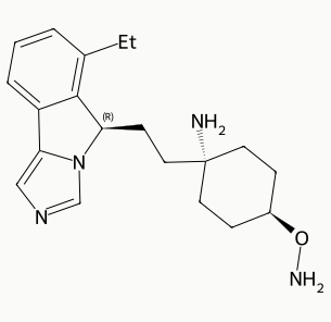 CCc1cccc2c1[C@@H](CC[C@]1(N)CC[C@H](ON)CC1)n1cncc1-2